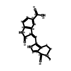 CN1CCc2c(c[nH]c2C=C2C(=O)Nc3ccc(C(=O)O)cc32)C1=O